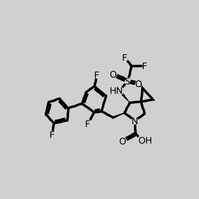 O=C(O)N1CC2(CC2)[C@H](NS(=O)(=O)C(F)F)[C@@H]1Cc1cc(F)cc(-c2cccc(F)c2)c1F